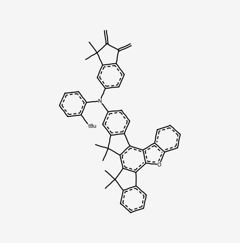 C=C1C(=C)C(C)(C)c2cc(N(c3ccc4c(c3)C(C)(C)c3c5c(c6oc7ccccc7c6c3-4)-c3ccccc3C5(C)C)c3ccccc3C(C)(C)C)ccc21